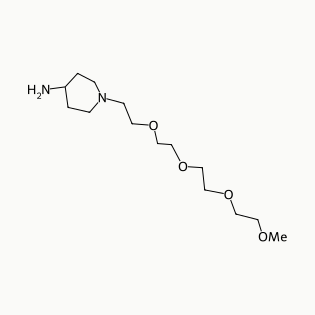 COCCOCCOCCOCCN1CCC(N)CC1